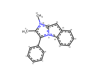 Cc1c(-c2ccccc2)n2c3ccccc3cc2n1C